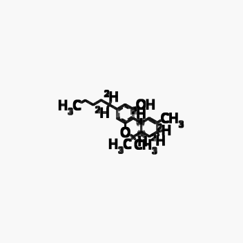 [2H]C1([2H])C[C@H]2C(C)(C)Oc3cc(C([2H])([2H])CCCC)cc(O)c3[C@]2([2H])C=C1C